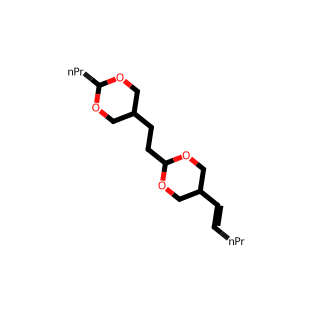 CCCC=CC1COC(CCC2COC(CCC)OC2)OC1